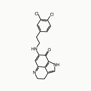 O=C1C(NCCc2ccc(Cl)c(Cl)c2)=CC2=NCCc3c[nH]c1c32